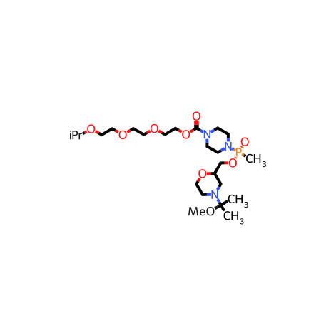 COC(C)(C)N1CCOC(COP(C)(=O)N2CCN(C(=O)OCCOCCOCCOC(C)C)CC2)C1